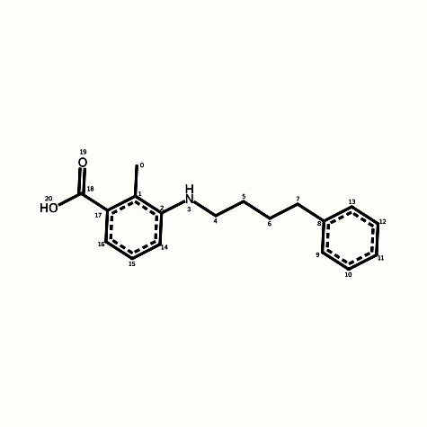 Cc1c(NCCCCc2ccccc2)cccc1C(=O)O